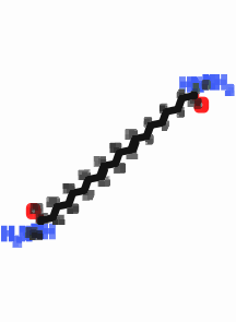 NNC(=O)CCCCCCC=CCCC=CCCCCCCC(=O)NN